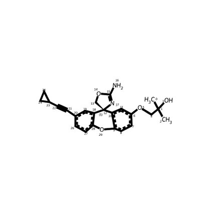 CC(C)(O)COc1ccc2c(c1)[C@]1(COC(N)=N1)c1cc(C#CC3CC3)ccc1O2